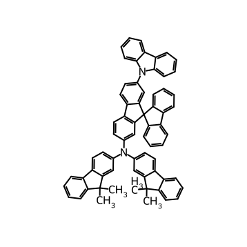 CC1(C)c2ccccc2-c2ccc(N(c3ccc4c(c3)C(C)(C)c3ccccc3-4)c3ccc4c(c3)C3(c5ccccc5-c5ccccc53)c3cc(-n5c6ccccc6c6ccccc65)ccc3-4)cc21